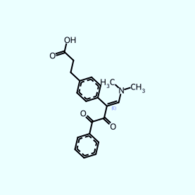 CN(C)/C=C(/C(=O)C(=O)c1ccccc1)c1ccc(CCC(=O)O)cc1